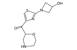 O=C(c1csc(N2CC(O)C2)n1)C1CNCCO1